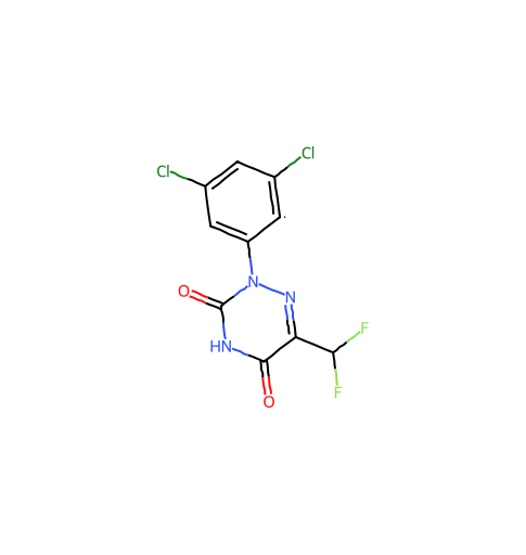 O=c1[nH]c(=O)n(-c2[c]c(Cl)cc(Cl)c2)nc1C(F)F